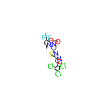 Cc1ccc(C(F)(F)F)c(OC(C=O)N2CCC(c3nc(C4=NOC(c5c(Cl)cc(Cl)cc5Cl)C4)cs3)CC2)n1